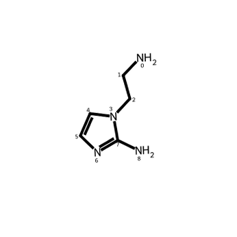 NCCn1ccnc1N